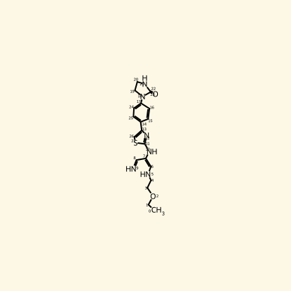 CCOCCN/C=C(\C=N)Nc1nc(-c2ccc(N3CCNC3=O)cc2)cs1